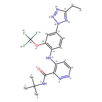 [2H]C([2H])([2H])NC(=O)c1nnccc1Nc1ccc(-n2nnc(CC)n2)cc1OC(F)(F)F